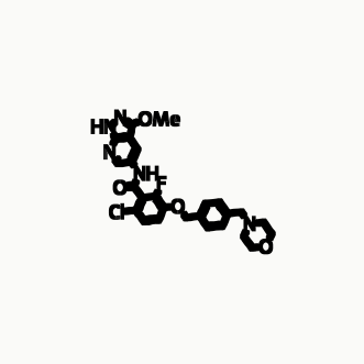 COc1n[nH]c2ncc(NC(=O)c3c(Cl)ccc(OCc4ccc(CN5CCOCC5)cc4)c3F)cc12